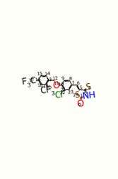 O=C1NC(=S)C(=Cc2ccc(OCc3ccc(C(F)(F)F)cc3C(F)(F)F)c(Cl)c2)S1